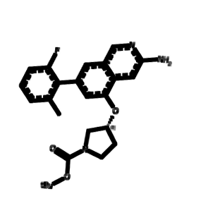 Cc1cccc(F)c1-c1cc(O[C@@H]2CCN(C(=O)OC(C)(C)C)C2)c2cc(N)ncc2c1